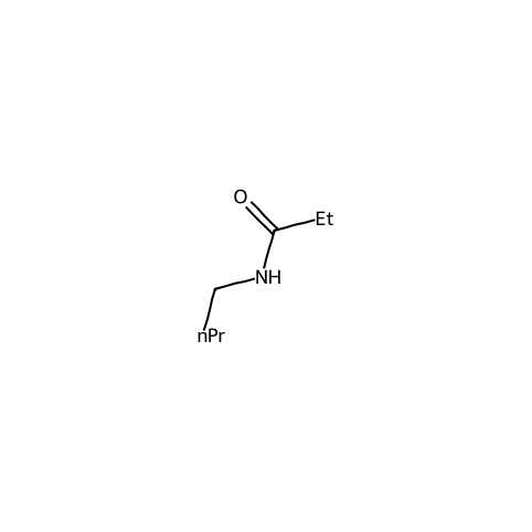 [CH2]CCCNC(=O)CC